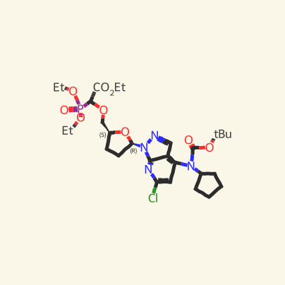 CCOC(=O)C(OC[C@@H]1CC[C@H](n2ncc3c(N(C(=O)OC(C)(C)C)C4CCCC4)cc(Cl)nc32)O1)P(=O)(OCC)OCC